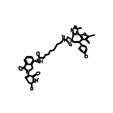 Cc1sc2c(c1C)C(c1ccc(Cl)cc1)=C[C@@H](CC(=O)NCCCCCCCC(=O)Nc1cccc3c1CN(C1CCC(=O)NC1=O)C3=O)c1nnc(C)n1-2